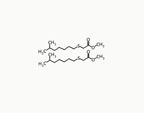 COC(=O)CSCCCCCC(C)C.COC(=O)CSCCCCCC(C)C